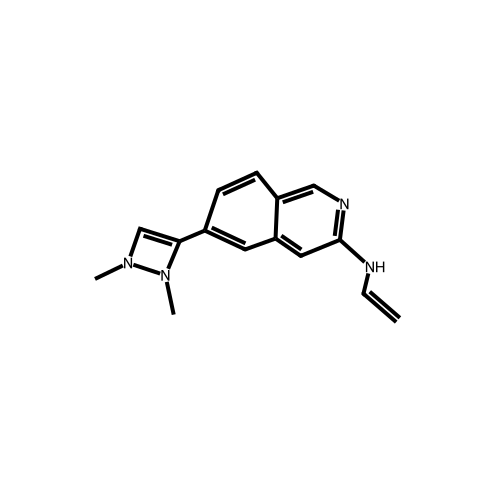 C=CNc1cc2cc(-c3cn(C)n3C)ccc2cn1